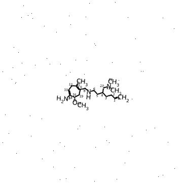 C=CCCC(CCNCC1=C(C)CC=C(N)[C@H](OC)C1)CN(C)C